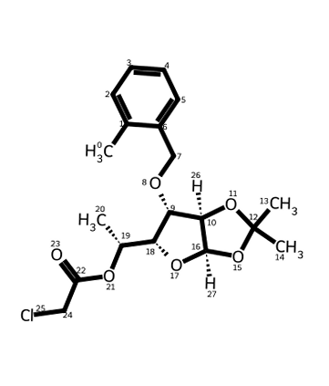 Cc1ccccc1CO[C@@H]1[C@H]2OC(C)(C)O[C@H]2O[C@@H]1[C@@H](C)OC(=O)CCl